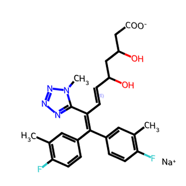 Cc1cc(C(=C(/C=C/C(O)CC(O)CC(=O)[O-])c2nnnn2C)c2ccc(F)c(C)c2)ccc1F.[Na+]